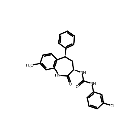 Cc1ccc2c(c1)NC(=O)[C@H](NC(=O)Nc1cccc(Cl)c1)C[C@@H]2c1ccccc1